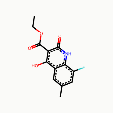 CCOC(=O)c1c(O)c2cc(C)cc(F)c2[nH]c1=O